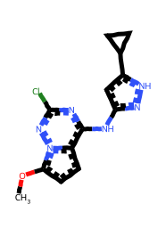 COc1ccc2c(Nc3cc(C4CC4)[nH]n3)nc(Cl)nn12